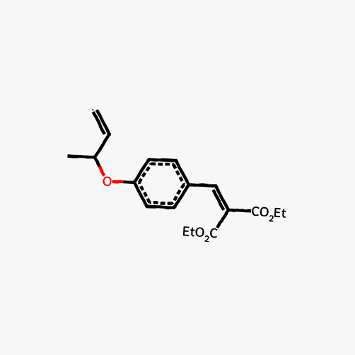 [CH]=CC(C)Oc1ccc(C=C(C(=O)OCC)C(=O)OCC)cc1